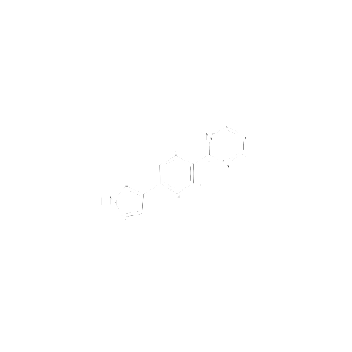 c1ncnc(-c2ccc(-c3cn[nH]c3)cc2)n1